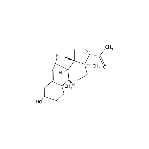 CC(=O)[C@H]1CC[C@H]2[C@@H]3C(F)C=C4C[C@@H](O)CC[C@]4(C)[C@H]3CC[C@]12C